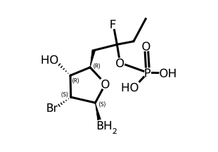 B[C@@H]1O[C@H](CC(F)(CC)OP(=O)(O)O)[C@@H](O)[C@H]1Br